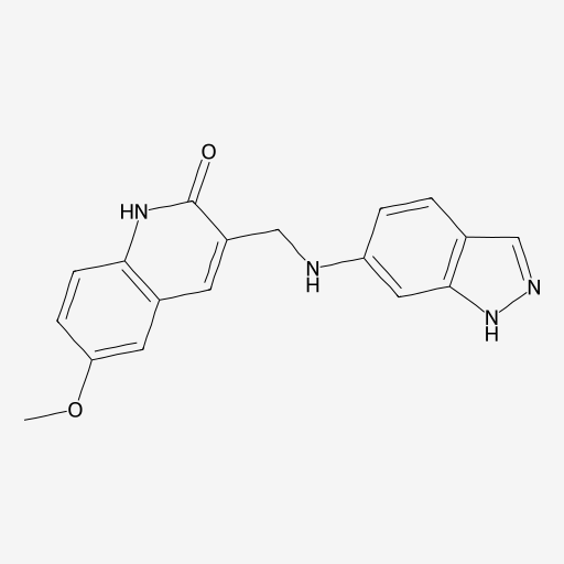 COc1ccc2[nH]c(=O)c(CNc3ccc4cn[nH]c4c3)cc2c1